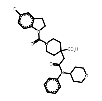 O=C(N1CCC(CC(=O)N(c2ccccc2)C2CCOCC2)(C(=O)O)CC1)N1CCc2cc(F)ccc21